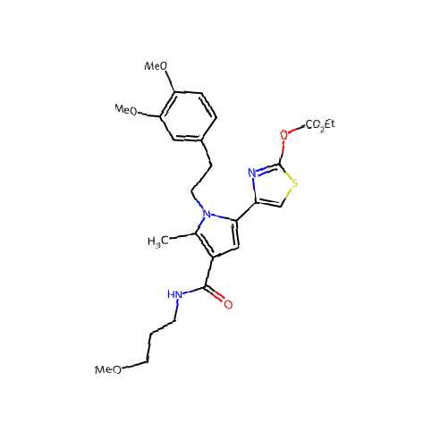 CCOC(=O)Oc1nc(-c2cc(C(=O)NCCCOC)c(C)n2CCc2ccc(OC)c(OC)c2)cs1